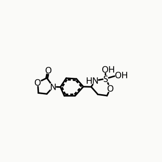 O=C1OCCN1c1ccc(C2CCOS(O)(O)N2)cc1